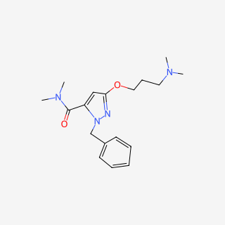 CN(C)CCCOc1cc(C(=O)N(C)C)n(Cc2ccccc2)n1